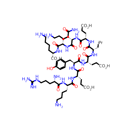 CC(C)C[C@H](NC(=O)[C@H](CCC(=O)O)NC(=O)[C@H](Cc1ccc(O)cc1)NC(=O)[C@H](CCC(=O)O)NC(=O)[C@H](CCCCN)NC(=O)[C@@H](N)CCCNC(=N)N)C(=O)N[C@@H](CCC(=O)O)C(=O)N[C@@H](CCCCN)C(=O)N[C@@H](CCC(N)=O)C(=O)N[C@@H](CCCCN)C(=O)O